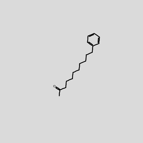 CC(=O)CCCCCCCCCc1ccccc1